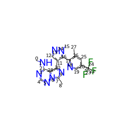 CNc1ncnn2c(C)nc(-c3cnn(C)c3-c3ncc(C(F)(F)F)cc3C)c12